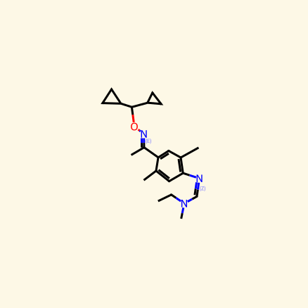 CCN(C)/C=N\c1cc(C)c(/C(C)=N/OC(C2CC2)C2CC2)cc1C